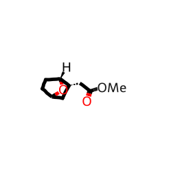 COC(=O)C[C@@H]1CC2CC[C@H]1O2